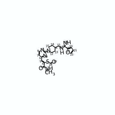 CNC(=O)/C(=C/c1ccnc(N2CCC(CNC(=N)c3ccco3)CC2)n1)SC=O